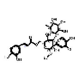 CCO[C@@H]1O[C@H](COC(=O)/C=C/c2ccc(O)c(O)c2)[C@@H](O)[C@H](O[C@@H]2O[C@@H](C)[C@H](O)[C@@H](O)[C@H]2O)[C@]1(O)c1ccc(O)c(O)c1